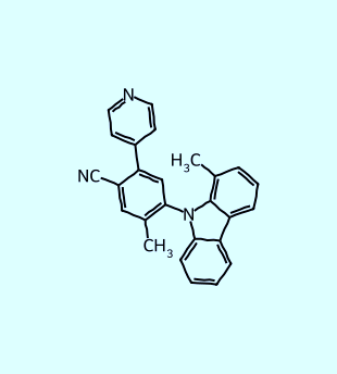 Cc1cc(C#N)c(-c2ccncc2)cc1-n1c2ccccc2c2cccc(C)c21